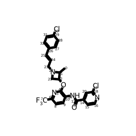 CC1C(Oc2nc(C(F)(F)F)ccc2NC(=O)c2ccnc(Cl)c2)CN1C/C=C/c1ccc(Cl)cc1